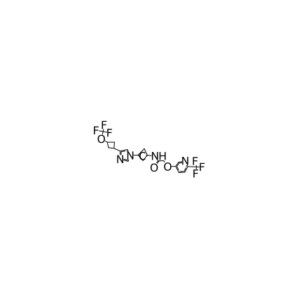 O=C(COc1ccc(C(F)(F)F)nc1)NC12CC(n3cnc(C4CC(OC(F)(F)F)C4)c3)(C1)C2